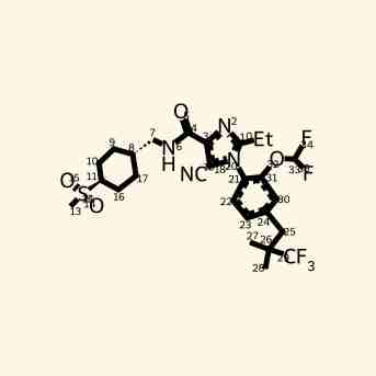 CCc1nc(C(=O)NC[C@H]2CC[C@H](S(C)(=O)=O)CC2)c(C#N)n1-c1ccc(CC(C)(C)C(F)(F)F)cc1OC(F)F